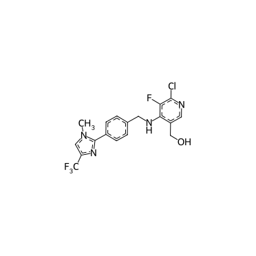 Cn1cc(C(F)(F)F)nc1-c1ccc(CNc2c(CO)cnc(Cl)c2F)cc1